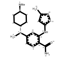 CN[C@H]1CC[C@H](N(C)c2cnc(C(N)=O)c(Nc3cc(C)ns3)n2)CC1